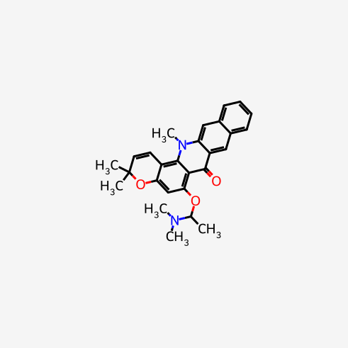 CC(Oc1cc2c(c3c1c(=O)c1cc4ccccc4cc1n3C)C=CC(C)(C)O2)N(C)C